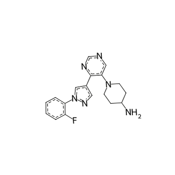 NC1CCN(c2cncnc2-c2cnn(-c3ccccc3F)c2)CC1